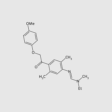 CCN(C)C=Nc1cc(C)c(C(=O)COc2ccc(OC)cc2)cc1C